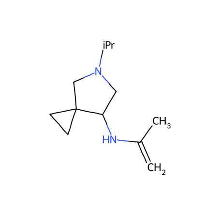 C=C(C)NC1CN(C(C)C)CC12CC2